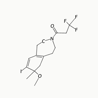 COC1(C)CC2=C(C=C1I)CCN(C(=O)CC(F)(F)F)CC2